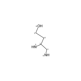 [NH]CC([NH])CCO